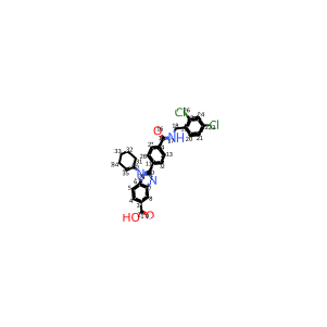 O=C(O)c1ccc2c(c1)nc(-c1ccc(C(=O)NCc3ccc(Cl)cc3Cl)cc1)n2C1CCCCC1